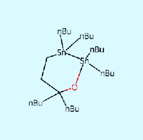 CCCCC1(CCCC)C[CH2][Sn]([CH2]CCC)([CH2]CCC)[Sn]([CH2]CCC)([CH2]CCC)[O]1